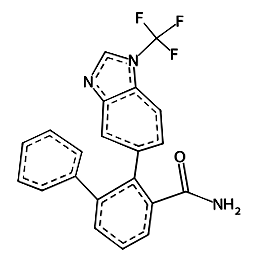 NC(=O)c1cccc(-c2ccccc2)c1-c1ccc2c(c1)ncn2C(F)(F)F